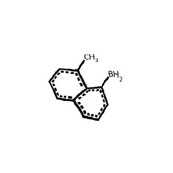 Bc1cccc2cccc(C)c12